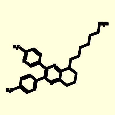 CCOC(=O)CCCCCCN1CCCc2nc(-c3ccc(C)cc3)c(-c3ccc(C)nc3)nc21